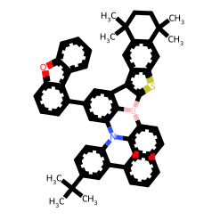 CC(C)(C)c1ccc(N2c3ccccc3B3c4sc5cc6c(cc5c4-c4cc(-c5cccc7oc8ccccc8c57)cc2c43)C(C)(C)CCC6(C)C)c(-c2ccccc2)c1